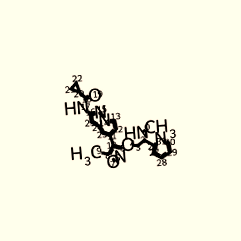 CNC(COc1noc(C)c1-c1ccn2nc(NC(=O)C3CC3)cc2c1)c1ccccn1